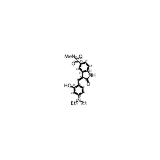 CCN(CC)c1ccc(C=C2C(=O)Nc3ccc(S(=O)(=O)NC)cc32)c(O)c1